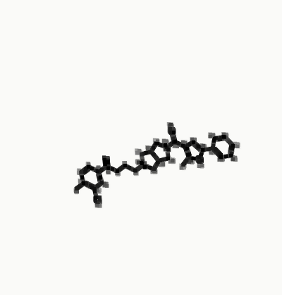 Cc1ccc(NCCCN2CC3CN(C(=O)c4cc(-c5ccccc5)oc4C)CC3C2)cc1Cl